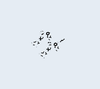 CCN(C(=O)c1cc(F)ccc1Oc1nncnc1N1CCC2(C1)CN([C@H](CCCN(C)[C@H](C)COC)C(C)C)C2)C(C)C.CCN(C(=O)c1cc(F)ccc1Oc1nncnc1N1CCC2(C1)CN([C@H](CCCN(C)[C@H](C)COC)C(C)C)C2)C(C)C.O=C(O)/C=C/C(=O)O